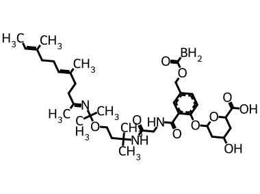 BC(=O)OCc1ccc(OC2CC(O)CC(C(=O)O)O2)c(C(=O)NCC(=O)NC(C)(C)CCOC(C)(C)/N=C(\C)CC/C(C)=C/CC/C(C)=C/C)c1